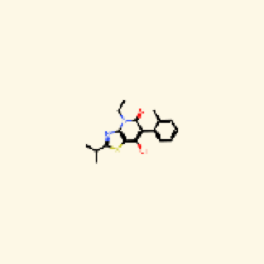 CCn1c(=O)c(-c2ccccc2C)c(O)c2sc(C(C)C)nc21